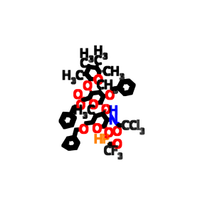 CC1C(C)[C@@H](C)[C@H](C)O[C@H]1O[C@H]1C(C(=O)OCc2ccccc2)O[C@@H](O[C@@H]2C(NC(=O)C(Cl)(Cl)Cl)C(OPC(=O)C(F)(F)F)OC(COCc3ccccc3)[C@@H]2C)C(OCc2ccccc2)[C@H]1C